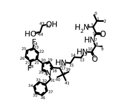 CC(C)[C@H](N)C(=O)N[C@@H](C)C(=O)NCCCN[C@@H](c1cc(-c2cc(F)ccc2F)cn1Cc1ccccc1)C(C)(C)C.OCCO